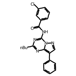 CCCCc1nc(NC(=O)c2cccc(Cl)c2)n2ncc(-c3ccccc3)c2n1